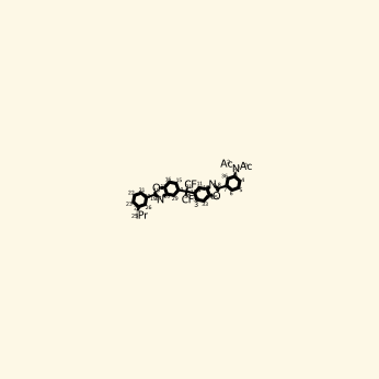 CC(=O)N(C(C)=O)c1cccc(-c2nc3cc(C(c4ccc5oc(-c6cccc(C(C)C)c6)nc5c4)(C(F)(F)F)C(F)(F)F)ccc3o2)c1